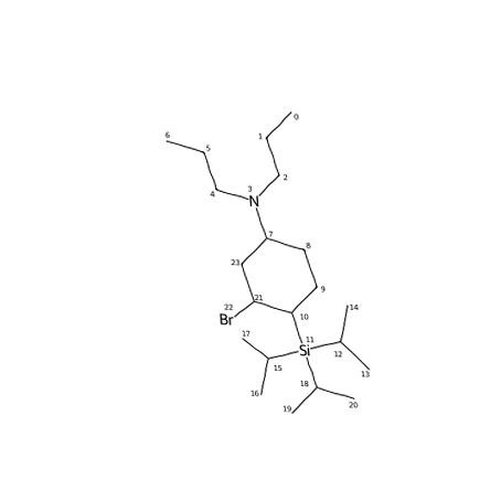 CCCN(CCC)C1CCC([Si](C(C)C)(C(C)C)C(C)C)C(Br)C1